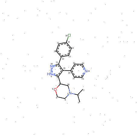 CC(C)N1CCOC(c2[nH]nc(-c3ccc(Cl)cc3)c2-c2ccncc2)C1